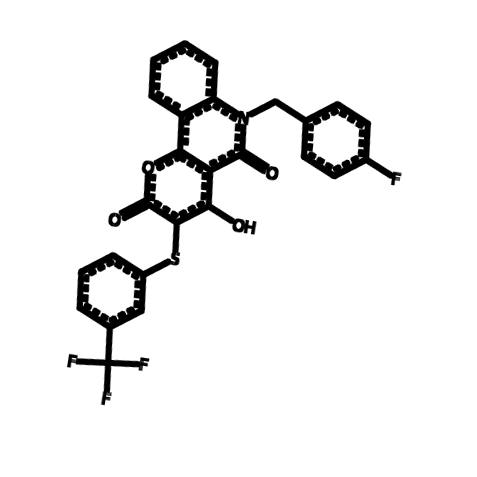 O=c1oc2c(c(O)c1Sc1cccc(C(F)(F)F)c1)c(=O)n(Cc1ccc(F)cc1)c1ccccc21